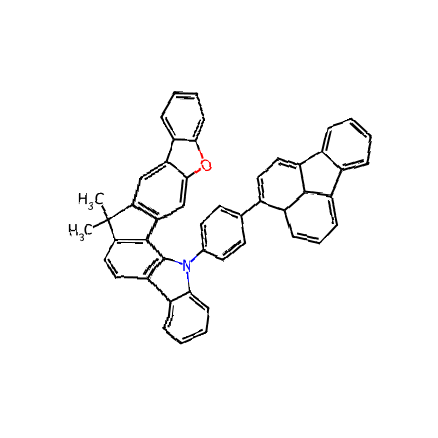 CC1(C)c2cc3c(cc2-c2c1ccc1c4ccccc4n(-c4ccc(C5=CC=C6c7ccccc7C7=CC=CC5C76)cc4)c21)oc1ccccc13